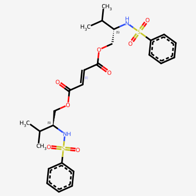 CC(C)[C@@H](COC(=O)/C=C/C(=O)OC[C@@H](NS(=O)(=O)c1ccccc1)C(C)C)NS(=O)(=O)c1ccccc1